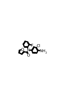 Nc1ccc(N(C(=O)c2ccco2)c2ccccc2F)cc1Cl